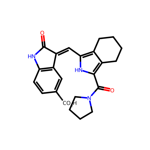 O=C1Nc2ccc(C(=O)O)cc2C1=Cc1[nH]c(C(=O)N2CCCC2)c2c1CCCC2